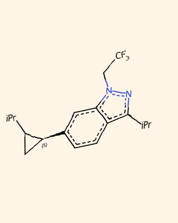 CC(C)c1nn(CC(F)(F)F)c2cc([C@H]3CC3C(C)C)ccc12